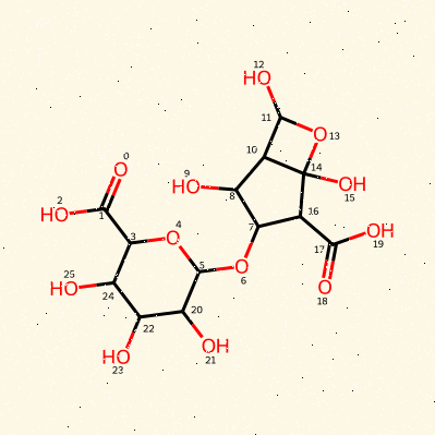 O=C(O)C1OC(OC2C(O)C3C(O)OC3(O)C2C(=O)O)C(O)C(O)C1O